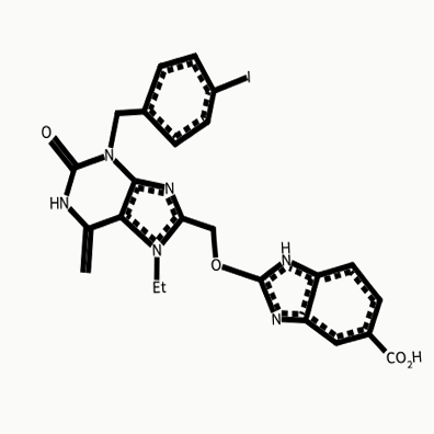 C=C1NC(=O)N(Cc2ccc(I)cc2)c2nc(COc3nc4cc(C(=O)O)ccc4[nH]3)n(CC)c21